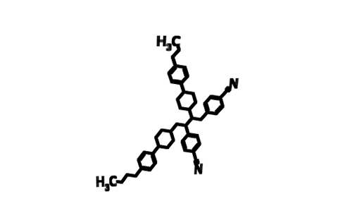 CCCCc1ccc(C2CCC(CC(c3ccc(C#N)cc3)C(Cc3ccc(C#N)cc3)C3CCC(c4ccc(CCC)cc4)CC3)CC2)cc1